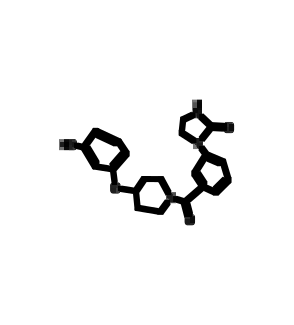 O=C(c1cccc(N2CCNC2=O)c1)N1CCC(Oc2cccc(O)c2)CC1